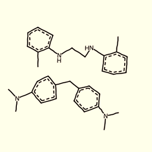 CN(C)c1ccc(Cc2ccc(N(C)C)cc2)cc1.Cc1ccccc1NCCNc1ccccc1C